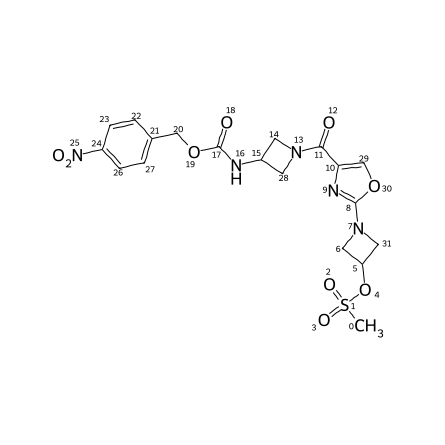 CS(=O)(=O)OC1CN(c2nc(C(=O)N3CC(NC(=O)OCc4ccc([N+](=O)[O-])cc4)C3)co2)C1